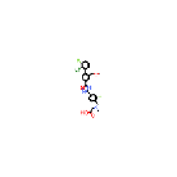 COCc1cc(-c2nc(-c3ccc(CN(C)CC(=O)O)c(F)c3)no2)ccc1-c1cccc(F)c1Cl